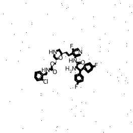 NC(C(=O)Nc1cncc(F)c1CC[C@@H]1CNC[C@@H](COC(=O)NCc2ccccc2Cl)O1)C(c1ccc(F)cc1)c1ccc(F)cc1